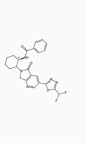 O=C(N[C@@H]1CCCCC1N1Cc2ncc(-c3nnc(C(F)F)o3)cc2C1=O)c1ccccc1